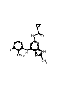 COc1c(F)cccc1Nc1cc(NC(=O)C2CC2)nc2[nH]c(C)nc12